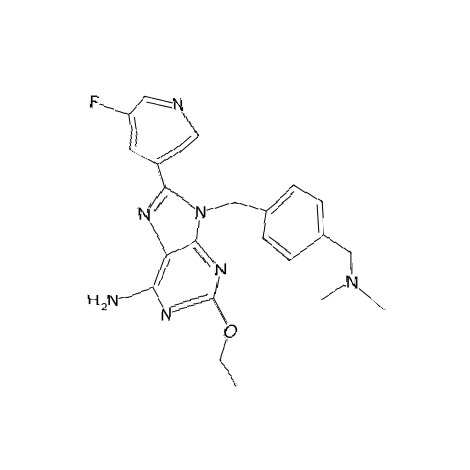 CCOc1nc(N)c2nc(-c3cncc(F)c3)n(Cc3ccc(CN(C)C)cc3)c2n1